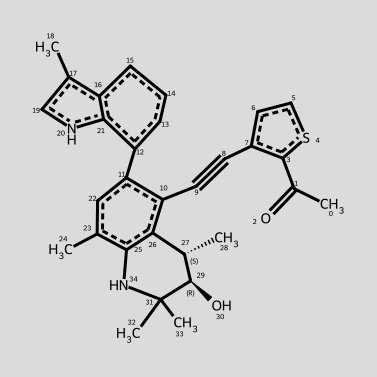 CC(=O)c1sccc1C#Cc1c(-c2cccc3c(C)c[nH]c23)cc(C)c2c1[C@H](C)[C@@H](O)C(C)(C)N2